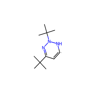 CC(C)(C)C1=NN(C(C)(C)C)N[C]=C1